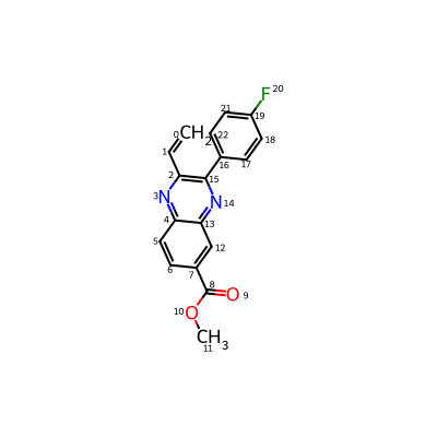 C=Cc1nc2ccc(C(=O)OC)cc2nc1-c1ccc(F)cc1